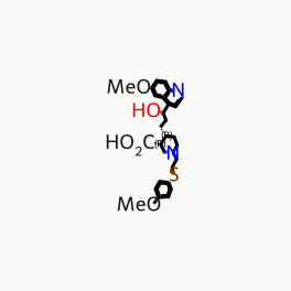 COc1ccc(SCCN2CC[C@@H](CCC(O)c3ccnc4ccc(OC)cc34)[C@@H](C(=O)O)C2)cc1